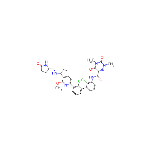 COc1nc(-c2cccc(-c3cccc(NC(=O)c4nn(C)c(=O)n(C)c4=O)c3Cl)c2Cl)cc2c1C(NCC1CCC(=O)N1)CC2